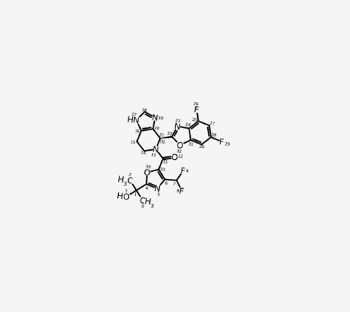 CC(C)(O)c1nc(C(F)F)c(C(=O)N2CCc3[nH]cnc3[C@H]2c2nc3c(F)cc(F)cc3o2)o1